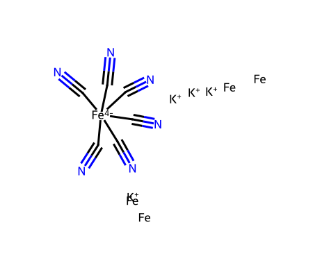 N#[C][Fe-4]([C]#N)([C]#N)([C]#N)([C]#N)[C]#N.[Fe].[Fe].[Fe].[Fe].[K+].[K+].[K+].[K+]